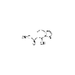 COC(=O)C1CCc2ccsc2C1O